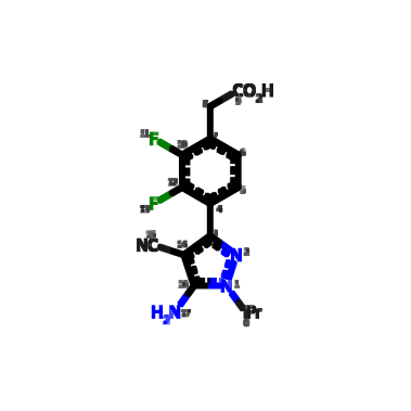 CC(C)n1nc(-c2ccc(CC(=O)O)c(F)c2F)c(C#N)c1N